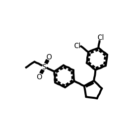 CCS(=O)(=O)c1ccc(C2=C(c3ccc(Cl)c(Cl)c3)CCC2)cc1